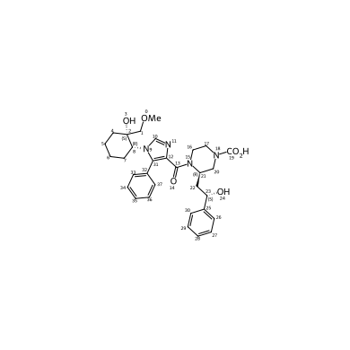 COC[C@]1(O)CCCC[C@H]1n1cnc(C(=O)N2CCN(C(=O)O)C[C@H]2C[C@H](O)c2ccccc2)c1-c1ccccc1